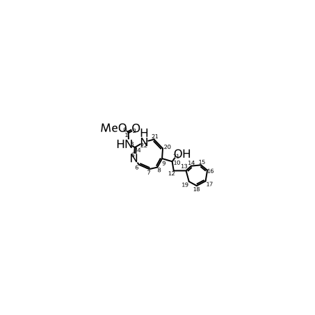 COC(=O)Nc1ncccc(C(O)CC2=CC=CC=CC2)cc[nH]1